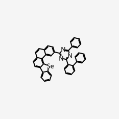 c1ccc(-c2nc(-c3ccc4ccc5ccc6c7ccccc7[se]c6c5c4c3)nc(-c3ccccc3-c3ccccc3)n2)cc1